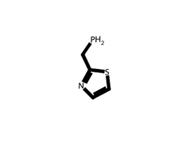 PCc1nccs1